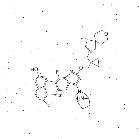 C#Cc1c(F)ccc2cc(O)cc(-c3c(C)cc4c(N5CC6CCC(C5)N6)nc(OCC5(CN6CCC7(CCOCC7)C6)CC5)nc4c3F)c12